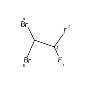 FC(F)C(Br)Br